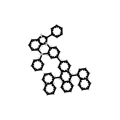 c1ccc(-c2nc3cccc4c3n2-c2ccc(-c3ccc5c(-c6cccc7ccccc67)c6ccccc6c(-c6cccc7ccccc67)c5c3)cc2N4c2ccccc2)cc1